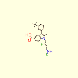 Cc1c(-c2cccc(C(C)(C)C)c2)c2cc(C(=O)O)ccc2n1C/C(F)=C/CNCl